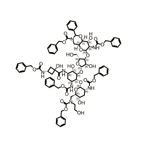 O=C(N[C@H]1[C@@H](O[C@H]2[C@@H](O)[C@H](O[C@@H]3[C@@H](O)[C@H](NC(=O)[C@]4(O)C[C@H](NC(=O)OCc5ccccc5)C4)C[C@H](NC(=O)OCc4ccccc4)[C@H]3O[C@H]3O[C@H](CN(CCO)C(=O)OCc4ccccc4)[C@@H](O)C[C@H]3NC(=O)OCc3ccccc3)O[C@@H]2CO)O[C@H]2CN(C(=O)OCc3ccccc3)C(c3ccccc3)O[C@H]2[C@@H]1O)OCc1ccccc1